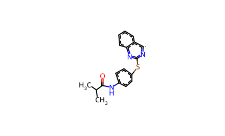 CC(C)C(=O)Nc1ccc(Sc2n[c]c3ccccc3n2)cc1